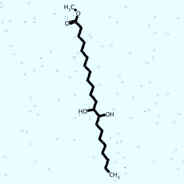 CCCCCCCCC(O)C(O)CCCCCCCCCCCC(=O)OC